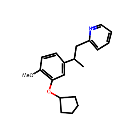 COc1ccc(C(C)Cc2ccccn2)cc1OC1CCCC1